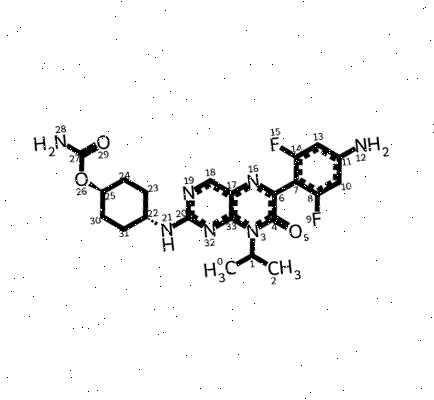 CC(C)n1c(=O)c(-c2c(F)cc(N)cc2F)nc2cnc(N[C@H]3CC[C@H](OC(N)=O)CC3)nc21